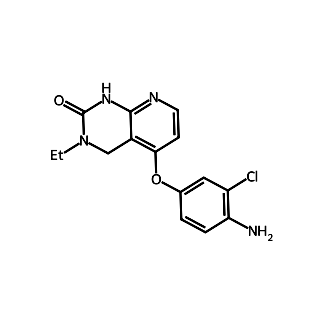 CCN1Cc2c(Oc3ccc(N)c(Cl)c3)ccnc2NC1=O